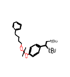 CC(C)(C)CC(c1ccc(OC(C)(C)OCCCCc2ccccc2)cc1)C(C)(C)C